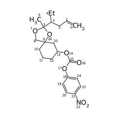 C=CCC(CC)C1(C)OCC2(CCCC(OC(=O)Oc3ccc([N+](=O)[O-])cc3)C2)O1